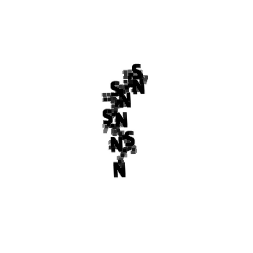 N#Cc1csc(-c2csc(-c3csc(-c4cscn4)n3)n2)n1